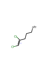 CCCCCC/C(Cl)=C/Cl